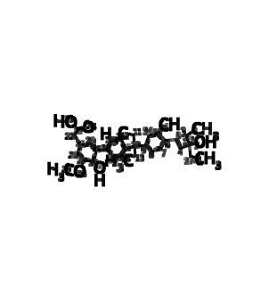 CCC(O)(/C=C/c1ccc(C(CC)(CC)c2ccc(-c3cc(CC(=O)O)cc(OC)c3O)cc2)cc1C)CC